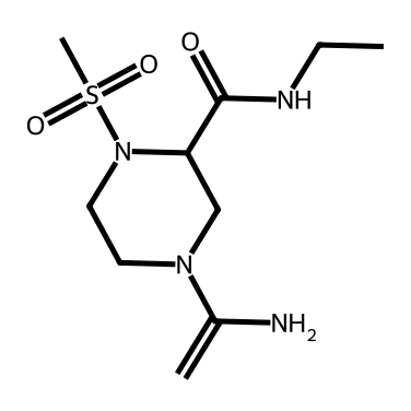 C=C(N)N1CCN(S(C)(=O)=O)C(C(=O)NCC)C1